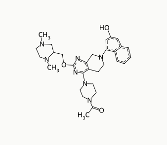 CC(=O)N1CCN(c2nc(OCC3CN(C)CCN3C)nc3c2CCN(c2cc(O)cc4ccccc24)C3)CC1